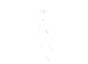 CN(C)[C@@H]1CCN(c2ccc(N3CCc4cc(C(=O)NC5CCC5)ccc4C3=O)cc2F)C1